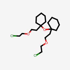 ClCCOCCC1(OC2(CCOCCCl)CCCCC2)CCCCC1